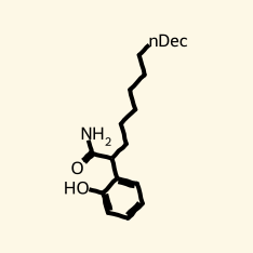 CCCCCCCCCCCCCCCCC(C(N)=O)c1ccccc1O